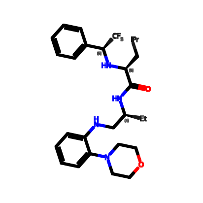 CC[C@@H](CNc1ccccc1N1CCOCC1)NC(=O)[C@H](CC(C)C)N[C@@H](c1ccccc1)C(F)(F)F